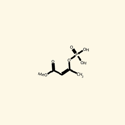 COC(=O)C=C(C)OP(=O)(O)O